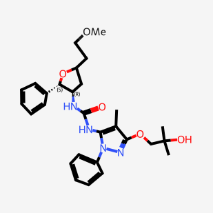 COCCC1C[C@@H](NC(=O)Nc2c(C)c(OCC(C)(C)O)nn2-c2ccccc2)[C@H](c2ccccc2)O1